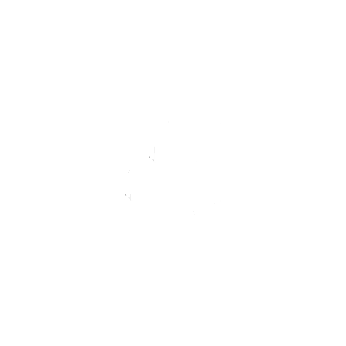 COC(=O)C1=C(C)N(C)C(=O)NC1c1cccc(Cl)c1Cl